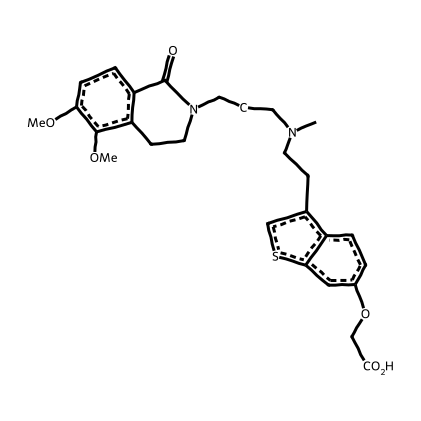 COc1ccc2c(c1OC)CCN(CCCN(C)CCc1csc3cc(OCC(=O)O)ccc13)C2=O